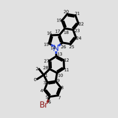 CC1(C)c2cc(Br)ccc2-c2ccc(-n3ccc4c5ccccc5ccc43)cc21